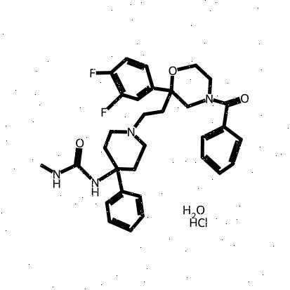 CNC(=O)NC1(c2ccccc2)CCN(CCC2(c3ccc(F)c(F)c3)CN(C(=O)c3ccccc3)CCO2)CC1.Cl.O